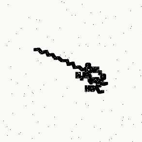 CCC(=O)O.CCC(=O)O.CCCCCCCCCCCCCCCC(=O)C(N)(N)CCC